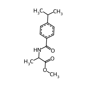 COC(=O)C(C)NC(=O)c1ccc(C(C)C)cc1